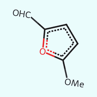 COc1ccc(C=O)o1